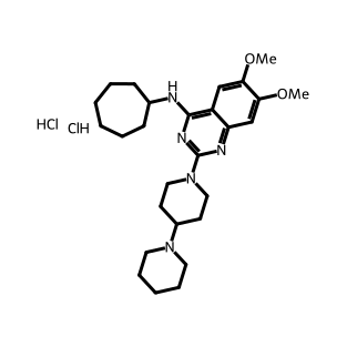 COc1cc2nc(N3CCC(N4CCCCC4)CC3)nc(NC3CCCCCC3)c2cc1OC.Cl.Cl